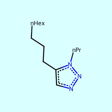 CCCCCCCCCc1cnnn1CCC